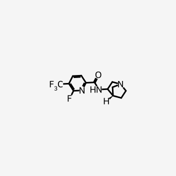 O=C(NC1CN2CC[C@H]1C2)c1ccc(C(F)(F)F)c(F)n1